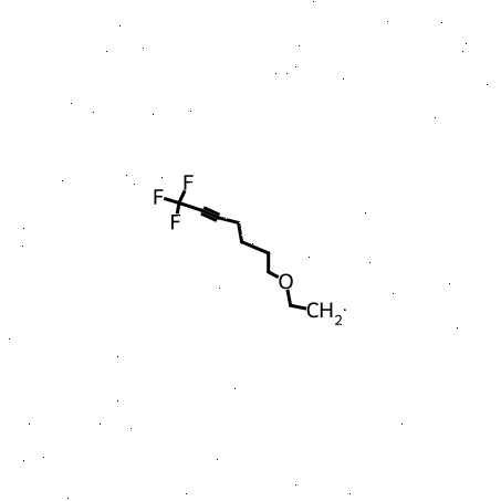 [CH2]COCCCCC#CC(F)(F)F